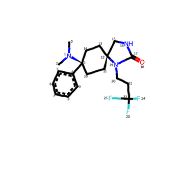 CN(C)[C@]1(c2ccccc2)CC[C@@]2(CC1)CNC(=O)N2CCC(F)(F)F